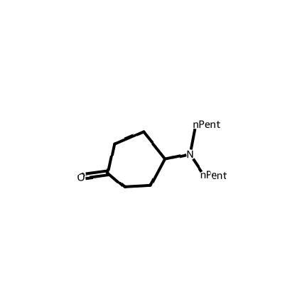 CCCCCN(CCCCC)C1CCC(=O)CC1